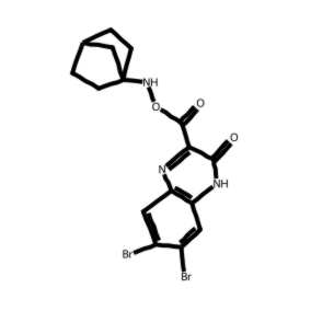 O=C(ONC12CCC(CC1)C2)c1nc2cc(Br)c(Br)cc2[nH]c1=O